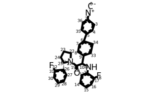 [C-]#[N+]c1ccc(-c2ccc(C(Nc3ccccc3F)C(=O)N3CCC[C@H]3c3ccccc3F)cc2)cc1